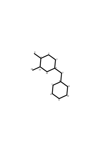 CC1CCC(CC2CCCCC2)CC1C